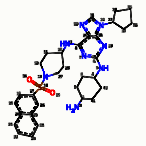 NC1CCC(Nc2nc(NC3CCN(S(=O)(=O)c4ccc5ccccc5c4)CC3)c3ncn(C4CCCC4)c3n2)CC1